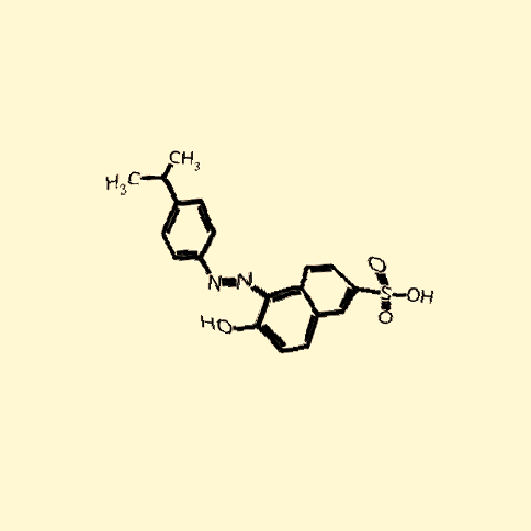 CC(C)c1ccc(N=Nc2c(O)ccc3cc(S(=O)(=O)O)ccc23)cc1